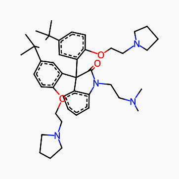 CN(C)CCN1C(=O)C(c2cc(C(C)(C)C)ccc2OCCN2CCCC2)(c2cc(C(C)(C)C)ccc2OCCN2CCCC2)c2ccccc21